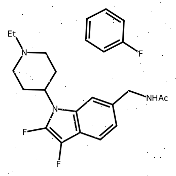 CCN1CCC(n2c(F)c(F)c3ccc(CNC(C)=O)cc32)CC1.Fc1ccccc1